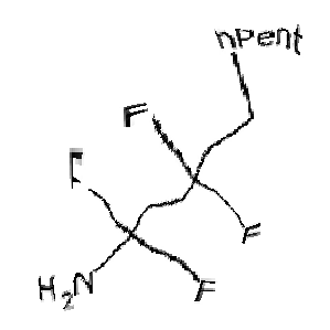 CCCCCCC(F)(F)C(N)(F)F